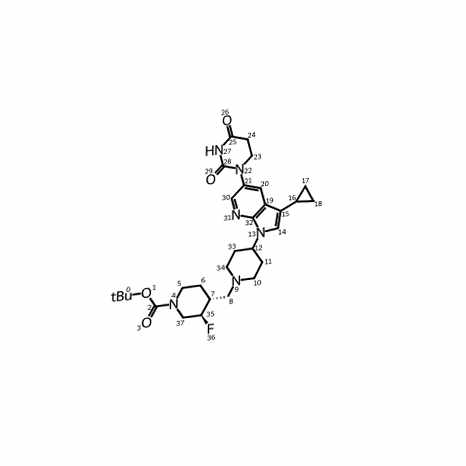 CC(C)(C)OC(=O)N1CC[C@H](CN2CCC(n3cc(C4CC4)c4cc(N5CCC(=O)NC5=O)cnc43)CC2)[C@@H](F)C1